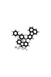 CC1(C)c2ccccc2-c2c(N(c3ccc(-c4ccccc4)cc3)c3ccc4c(c3)-c3cccc5cccc-4c35)cccc21